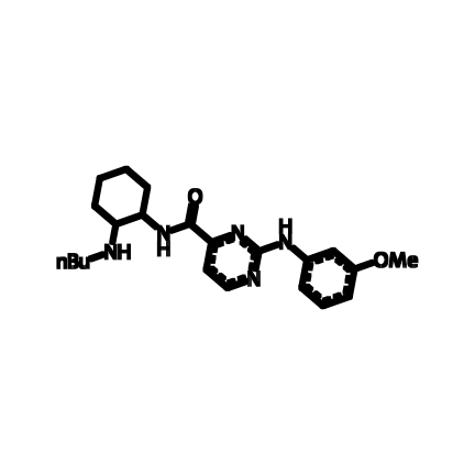 CCCCNC1CCCCC1NC(=O)c1ccnc(Nc2cccc(OC)c2)n1